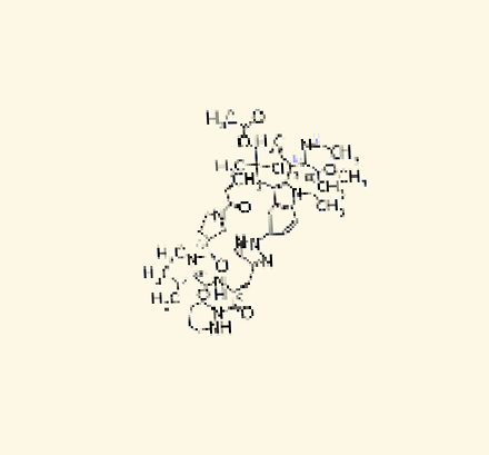 C=CC(=O)N1CC[C@H](C(=O)N(C)[C@H](C(=O)N[C@@H](Cc2nnn(-c3ccc4c(c3)c(CC(C)(C)COC(C)=O)c(/C(C=C)=C(/N=C\C)[C@H](C)OC)n4CC)n2)C(=O)N2CCCCN2)C(C)C)C1